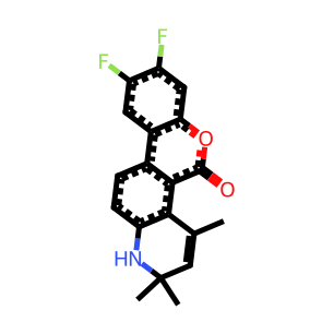 CC1=CC(C)(C)Nc2ccc3c(c21)c(=O)oc1cc(F)c(F)cc13